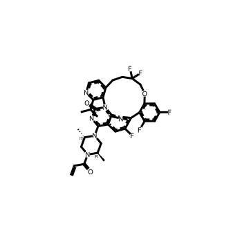 C=CC(=O)N1C[C@H](C)N(c2nc(=O)n3c4nc(c(F)cc24)-c2c(F)cc(F)cc2OCC(F)(F)CCc2ccnc(C(C)C)c2-3)C[C@H]1C